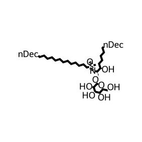 CCCCCCCCCCCCCCCCCCCCCCCS(C)(=O)=N[C@@H](COC1OC(CO)C(O)C(O)C1O)[C@H](O)CCCCCCCCCCCCCCC